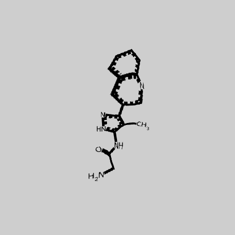 Cc1c(-c2cnc3ccccc3c2)n[nH]c1NC(=O)CN